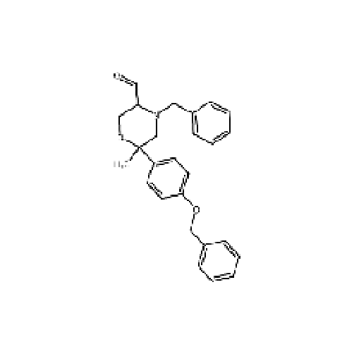 CC1(c2ccc(OCc3ccccc3)cc2)CN(Cc2ccccc2)C(C=O)CO1